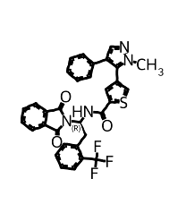 Cn1ncc(-c2ccccc2)c1-c1csc(C(=O)N[C@@H](Cc2ccccc2C(F)(F)F)N2C(=O)c3ccccc3C2=O)c1